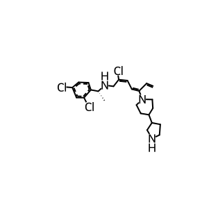 C=C/C(=C\C=C(\Cl)CN[C@H](C)c1ccc(Cl)cc1Cl)N1CCC(C2CCNC2)CC1